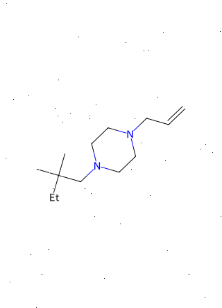 C=CCN1CCN(CC(C)(C)CC)CC1